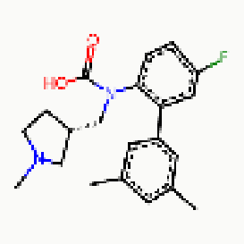 Cc1cc(C)cc(-c2cc(F)ccc2N(C[C@H]2CCN(C)C2)C(=O)O)c1